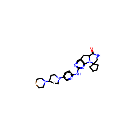 O=C1NCC2(CCCC2)N2c3nc(Nc4ccc(N5CCC(N6CCSCC6)CC5)cn4)ncc3CC12